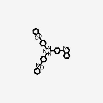 c1ccc2c(-c3ccc(-c4nc(-c5ccc(-c6nc7ccccc7o6)cc5)nc(-c5ccc(-c6nc7ccccc7o6)cc5)n4)cc3)nccc2c1